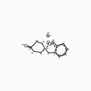 C[N+]1(Cc2ccccc2[N+](=O)[O-])CCC(=O)CC1.[Br-]